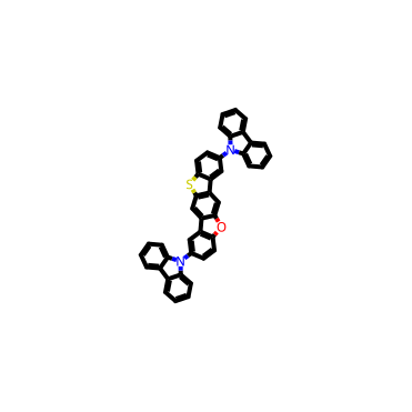 c1ccc2c(c1)c1ccccc1n2-c1ccc2oc3cc4c(cc3c2c1)sc1ccc(-n2c3ccccc3c3ccccc32)cc14